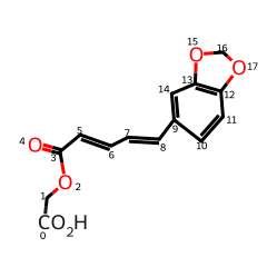 O=C(O)COC(=O)C=CC=Cc1ccc2c(c1)OCO2